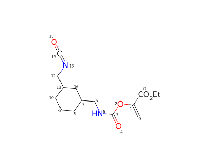 C=C(OC(=O)NCC1CCCC(CN=C=O)C1)C(=O)OCC